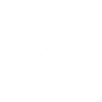 CCCCNC(=O)C(=COC)OC